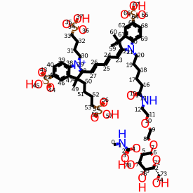 CNC(=O)O[C@@H]1[C@@H](OCCOCCNC(=O)CCCCCN2/C(=C/C=C/C=C/C3=[N+](CCCCS(=O)(=O)O)c4ccc(S(=O)(=O)O)cc4C3(C)CCCCS(=O)(=O)O)C(C)(C)c3cc(S(=O)(=O)O)ccc32)O[C@H](CO)[C@@H](O)[C@@H]1O